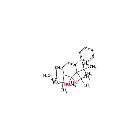 CC(C)(C)C1(C(C)(C)C)CC=C(c2ccccc2)C(C(C)(C)C)(C(C)(C)C)C1(O)O